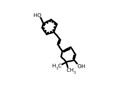 CC1(C)CC(C=Cc2ccc(O)cc2)=CC=C1O